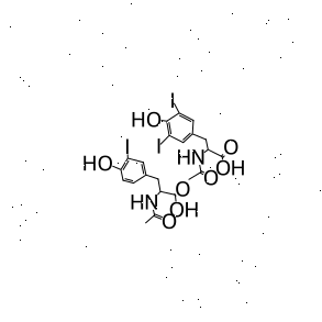 CC(=O)NC(Cc1cc(I)c(O)c(I)c1)C(=O)O.CC(=O)NC(Cc1ccc(O)c(I)c1)C(=O)O